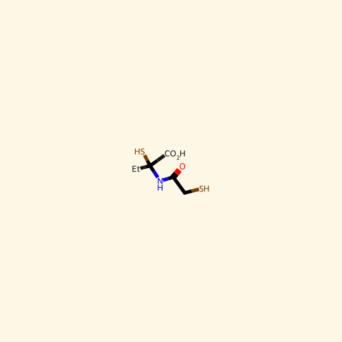 CCC(S)(NC(=O)CS)C(=O)O